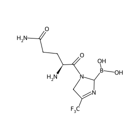 NC(=O)CC[C@H](N)C(=O)N1CC(C(F)(F)F)=NC1B(O)O